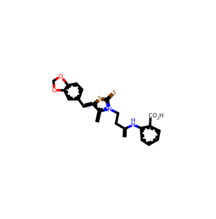 C=C(CCn1c(=S)s/c(=C\c2ccc3c(c2)OCO3)c1=C)Nc1ccccc1C(=O)O